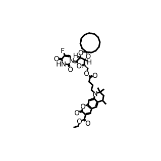 CCOC(=O)c1cc2cc3c(cc2oc1=O)N(CCCC(=O)OC[C@H]1O[C@@H](n2cc(F)c(=O)[nH]c2=O)[C@@H]2OC4(CCCCCCCCCCC4)O[C@@H]21)C(C)(C)CC3C